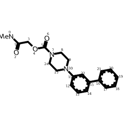 CNC(=O)COC(=O)N1CCN(c2cccc(-c3ccccc3)c2)CC1